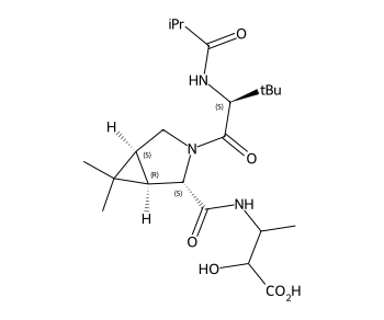 CC(C)C(=O)N[C@H](C(=O)N1C[C@H]2[C@@H]([C@H]1C(=O)NC(C)C(O)C(=O)O)C2(C)C)C(C)(C)C